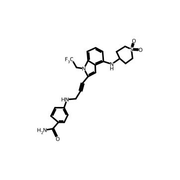 NC(=O)c1ccc(NCC#Cc2cc3c(NC4CCS(=O)(=O)CC4)cccc3n2CC(F)(F)F)cc1